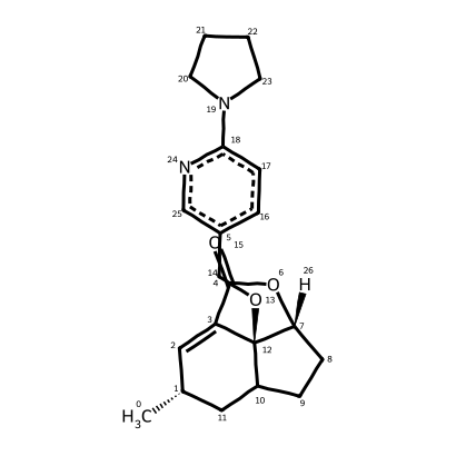 C[C@@H]1C=C2C(=O)O[C@@H]3CCC(C1)[C@]23OCc1ccc(N2CCCC2)nc1